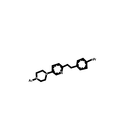 CCCc1ccc(CCc2ccc(N3CCN(C(C)=O)CC3)cn2)cc1